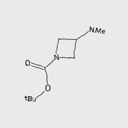 CNC1CN(C(=O)OC(C)(C)C)C1